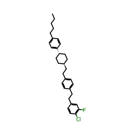 CCCCCc1ccc([C@H]2CC[C@H](CCc3ccc(CCc4ccc(Cl)c(F)c4)cc3)CC2)cc1